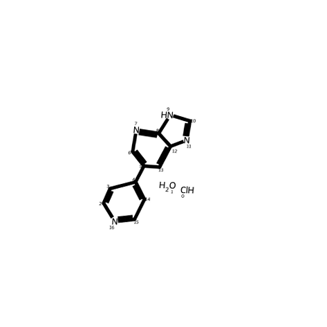 Cl.O.c1cc(-c2cnc3[nH]cnc3c2)ccn1